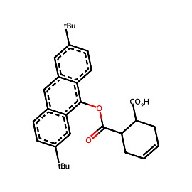 CC(C)(C)c1ccc2c(OC(=O)C3CC=CCC3C(=O)O)c3cc(C(C)(C)C)ccc3cc2c1